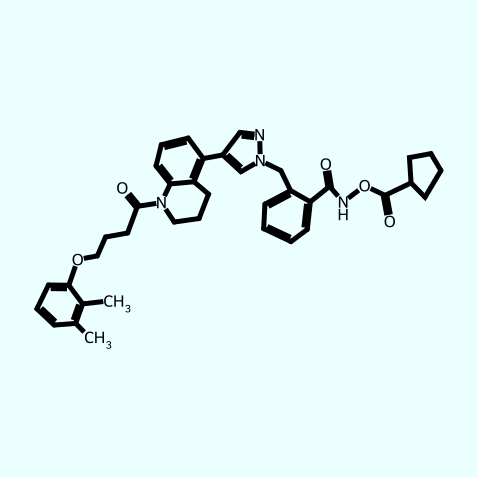 Cc1cccc(OCCCC(=O)N2CCCc3c(-c4cnn(Cc5ccccc5C(=O)NOC(=O)C5CCCC5)c4)cccc32)c1C